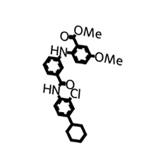 COC(=O)c1cc(OC)ccc1Nc1cccc(C(=O)Nc2ccc(C3CCCCC3)cc2Cl)c1